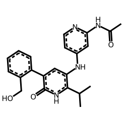 CC(=O)Nc1cc(Nc2cc(-c3ccccc3CO)c(=O)[nH]c2C(C)C)ccn1